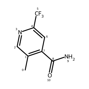 Cc1cnc(C(F)(F)F)cc1C(N)=O